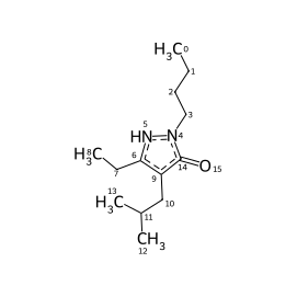 CCCCn1[nH]c(CC)c(CC(C)C)c1=O